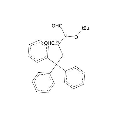 CC(C)(C)ON(C=O)[C@@H](C=O)CC(c1ccccc1)(c1ccccc1)c1ccccc1